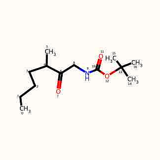 CCCCC(C)C(=O)CNC(=O)OC(C)(C)C